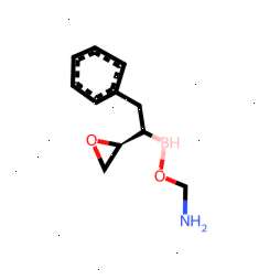 NCOBC(Cc1ccccc1)[C@H]1CO1